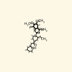 CCC1CN(C(=O)CC2CCCCN2)CCN1c1nc(N)c2cc(OC)c(OC)c(F)c2n1